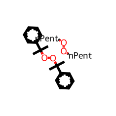 CC(C)(OOC(C)(C)c1ccccc1)c1ccccc1.CCCCCOOCCCCC